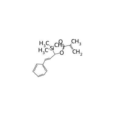 C=C(C)C(=O)OC(C=Cc1ccccc1)[Si](C)(C)C